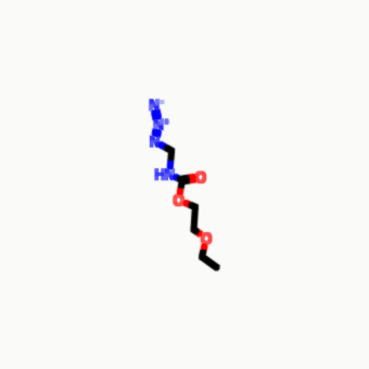 CCOCCOC(=O)NCN=[N+]=[N-]